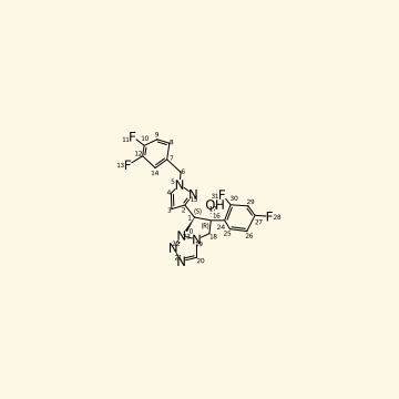 C[C@@H](c1ccn(Cc2ccc(F)c(F)c2)n1)[C@](O)(Cn1cnnn1)c1ccc(F)cc1F